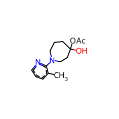 CC(=O)OC1(O)CCCN(c2ncccc2C)CC1